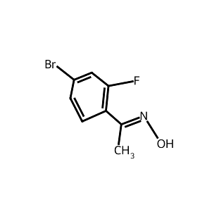 CC(=NO)c1ccc(Br)cc1F